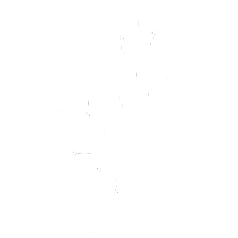 O=C1CN=C(n2cnc(C3CC3)c2)C=C2c3ccc(F)c(-c4cnc(F)nc4)c3CCN12